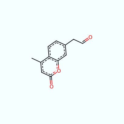 Cc1cc(=O)oc2cc(CC=O)ccc12